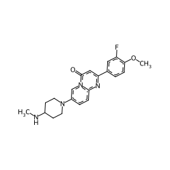 CNC1CCN(c2ccc3nc(-c4ccc(OC)c(F)c4)cc(=O)n3c2)CC1